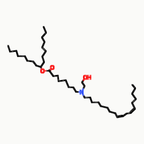 CCCCC/C=C\C/C=C\CCCCCCCCN(CCO)CCCCCCCC(=O)OC(CCCCCCCC)CCCCCCCC